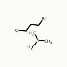 CN(C)C.ClCCCBr